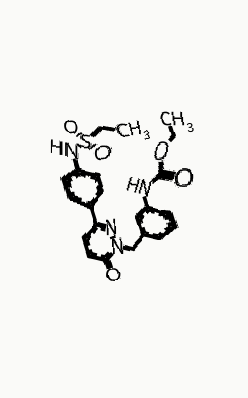 CCOC(=O)Nc1cccc(Cn2nc(-c3ccc(NS(=O)(=O)CC)cc3)ccc2=O)c1